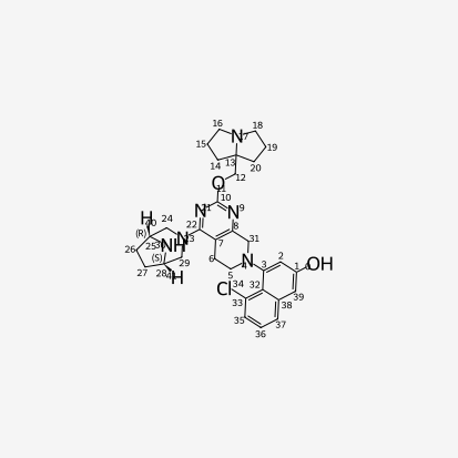 Oc1cc(N2CCc3c(nc(OCC45CCCN4CCC5)nc3N3C[C@H]4CC[C@@H](C3)N4)C2)c2c(Cl)cccc2c1